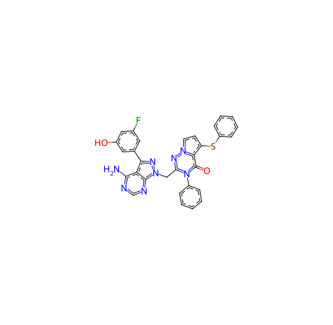 Nc1ncnc2c1c(-c1cc(O)cc(F)c1)nn2Cc1nn2ccc(Sc3ccccc3)c2c(=O)n1-c1ccccc1